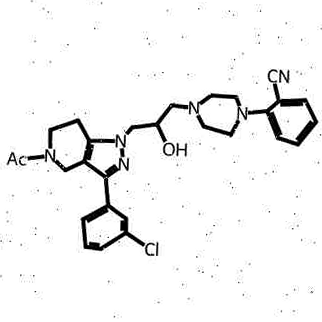 CC(=O)N1CCc2c(c(-c3cccc(Cl)c3)nn2CC(O)CN2CCN(c3ccccc3C#N)CC2)C1